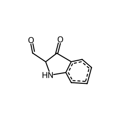 O=CC1Nc2ccccc2C1=O